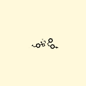 C=C(N(C)CC[C@@H](Cc1ccc(C(F)(F)F)cc1)c1ccccc1)C1(c2ccc(CC(C)C)cc2)CCC1